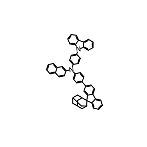 c1ccc2c(c1)-c1ccc(-c3ccc(N(c4ccc(-n5c6ccccc6c6ccccc65)cc4)c4ccc5ccccc5c4)cc3)cc1C21C2CC3CC(C2)CC1C3